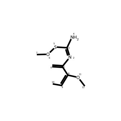 C=C(/N=C(/N)SOC)/C(=C\C)OC